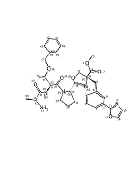 COC(=O)[C@@]1(Cc2cccc(-c3ncco3)c2)COC([C@@H]2CCCN2C(=O)[C@@H](NC(=O)[C@H](C)N)C(C)OCc2ccccc2)=N1